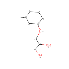 CC1CCCC(OCC(O)CO)C1